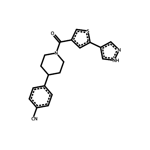 N#Cc1ccc(C2CCN(C(=O)c3csc(-c4cn[nH]c4)c3)CC2)cc1